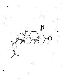 CC(C)=CC[C@@H](C)[C@H]1CC[C@H]2C3=C(CC[C@]12C)[C@@]1(C)CCC(=O)C[C@]1(C#N)CC3